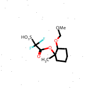 COCOC1CCCCC1(C)OC(=O)C(F)(F)S(=O)(=O)O